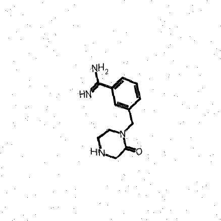 N=C(N)c1cccc(CN2CCNCC2=O)c1